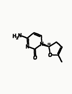 CC1=CC[C@H](n2ccc(N)nc2=O)O1